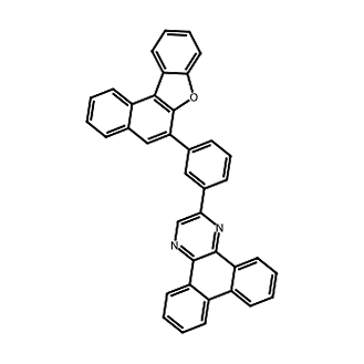 c1cc(-c2cnc3c4ccccc4c4ccccc4c3n2)cc(-c2cc3ccccc3c3c2oc2ccccc23)c1